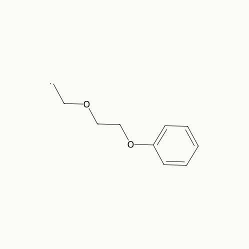 [CH2]COCCOc1ccccc1